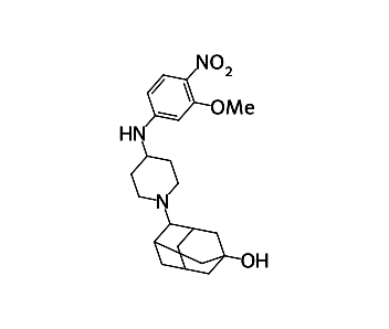 COc1cc(NC2CCN(C3C4CC5CC3CC(O)(C5)C4)CC2)ccc1[N+](=O)[O-]